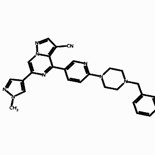 Cn1cc(-c2cn3ncc(C#N)c3c(-c3ccc(N4CCN(Cc5ccccc5)CC4)nc3)n2)cn1